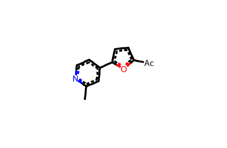 CC(=O)c1ccc(-c2ccnc(C)c2)o1